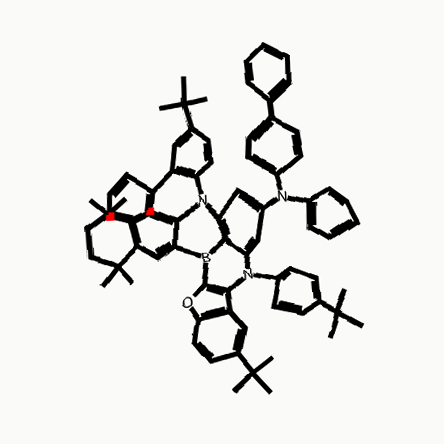 CC(C)(C)c1ccc(N2c3cc(N(c4ccccc4)c4ccc(-c5ccccc5)cc4)cc4c3B(c3cc5c(cc3N4c3ccc(C(C)(C)C)cc3-c3ccccc3)C(C)(C)CCC5(C)C)c3oc4ccc(C(C)(C)C)cc4c32)cc1